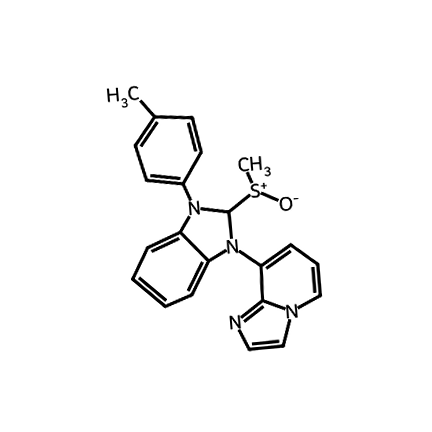 Cc1ccc(N2c3ccccc3N(c3cccn4ccnc34)C2[S+](C)[O-])cc1